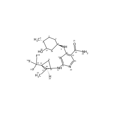 C[C@@H]1CC[C@@H](Nc2nc(NC34CC(C(F)(F)F)(C3)[C@@H]4C)ncc2C(N)=O)CC1O